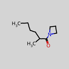 CCCCC(C)C(=O)N1CCC1